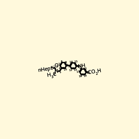 CCCCCCCC(=O)N(C)Cc1cccc(-c2ccc(Nc3cccc(C(=O)O)c3)cc2)c1